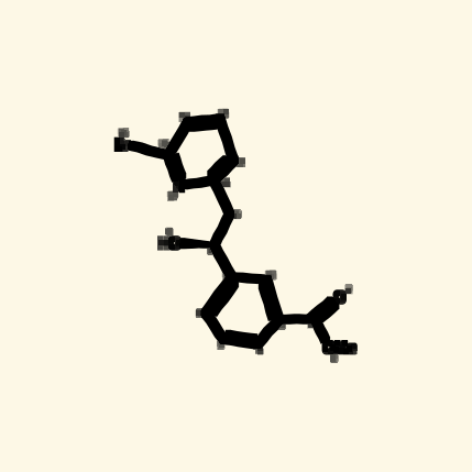 COC(=O)c1cccc([C@@H](O)Cc2cccc(Br)n2)c1